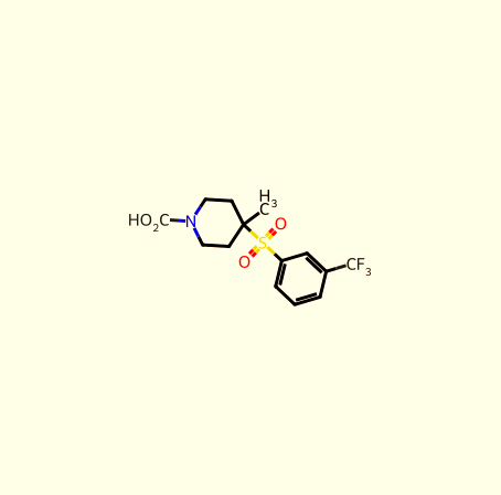 CC1(S(=O)(=O)c2cccc(C(F)(F)F)c2)CCN(C(=O)O)CC1